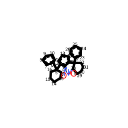 O=[N+]([O-])c1c(C2(c3ccccc3)CCCCC2)cccc1C1(c2ccccc2)CCCCC1